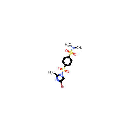 Cc1nc(Br)cn1S(=O)(=O)c1ccc(S(=O)(=O)N(C)C)cc1